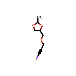 CC1OCC(COCC#CI)O1